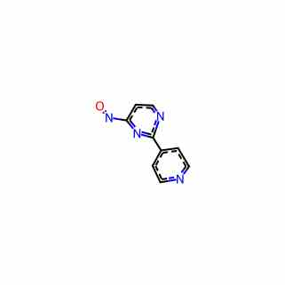 O=Nc1ccnc(-c2ccncc2)n1